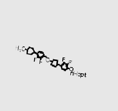 CCCCCCCOc1ccc(C2CCC(OCc3ccc(C4CCC(C)CC4)c(F)c3F)CC2)c(F)c1F